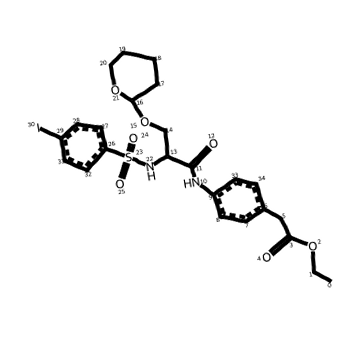 CCOC(=O)Cc1ccc(NC(=O)C(COC2CCCCO2)NS(=O)(=O)c2ccc(I)cc2)cc1